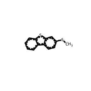 CSc1ccc2c(c1)sc1ccccc12